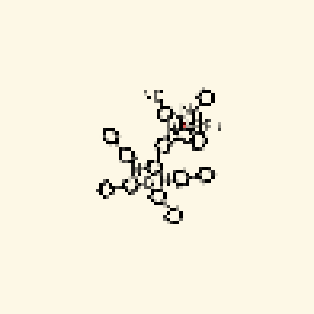 CC(C)(C)c1ccc2c3cc(-c4cc5c6c(c4)N(c4ccc(-c7ccccc7)cc4)c4cc(-c7ccccc7)ccc4B6c4ccc(-c6ccccc6)cc4N5c4ccc(-c5ccccc5)cc4)ccc3n(-c3ccc(C#N)cc3-c3nc(-c4ccccc4)nc(-c4ccccc4)n3)c2c1